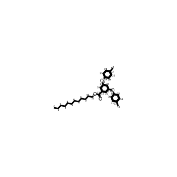 CCCCCCCCCCCCOC(=O)c1cc(Oc2ccc(C)cc2)cc(Oc2ccc(C)cc2)c1